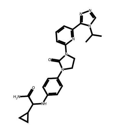 CC(C)n1cnnc1-c1cccc(N2CCN(c3ccc(NC(C(N)=O)C4CC4)cc3)C2=O)n1